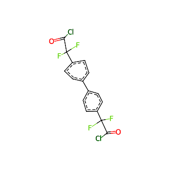 O=C(Cl)C(F)(F)c1ccc(-c2ccc(C(F)(F)C(=O)Cl)cc2)cc1